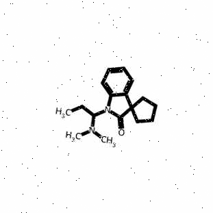 CCC(N(C)C)N1C(=O)C2(CCCC2)c2ccccc21